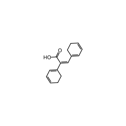 O=C(O)C(=CC1=CC=CCC1)C1=CC=CCC1